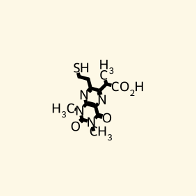 CC(C(=O)O)c1nc2c(=O)n(C)c(=O)n(C)c2nc1CCS